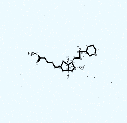 COC(=O)CCCC=C1C[C@@H]2C[C@@H](O)[C@H](C=C[C@H](O)C3CCCCC3)[C@H]2C1